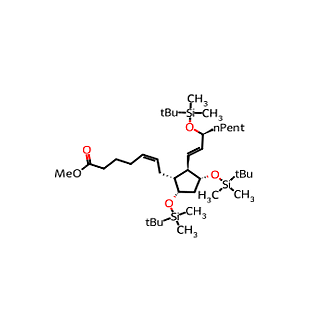 CCCCC[C@@H](/C=C/[C@@H]1[C@@H](C/C=C\CCCC(=O)OC)[C@@H](O[Si](C)(C)C(C)(C)C)C[C@H]1O[Si](C)(C)C(C)(C)C)O[Si](C)(C)C(C)(C)C